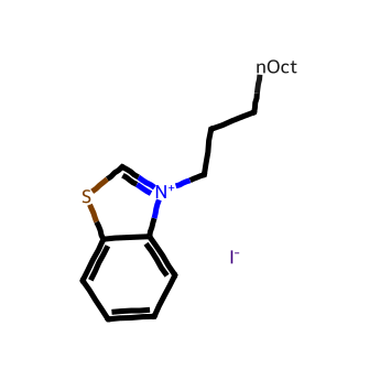 CCCCCCCCCCC[n+]1csc2ccccc21.[I-]